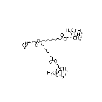 CC(CCOC(=O)CCCCCCCCC(CCCCCCCCC(=O)OCCC(C)CC(C)(C)C)OC(=O)CCCn1ccnc1)CC(C)(C)C